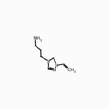 C=CN1CN(CCCN)C=N1